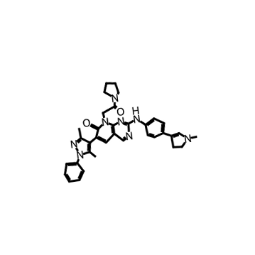 Cc1nn(-c2ccccc2)c(C)c1-c1cc2cnc(Nc3ccc(C4=CN(C)CC4)cc3)nc2n(CC(=O)N2CCCC2)c1=O